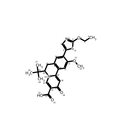 CCOc1ncc(-c2cc3c(cc2OC)-c2cc(=O)c(C(=O)O)cn2C(C(C)(C)C)C3)s1